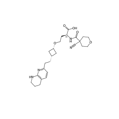 N#CC1(C(=O)N[C@@H](CCO[C@H]2C[C@@H](CCc3ccc4c(n3)NCCC4)C2)C(=O)O)CCOCC1